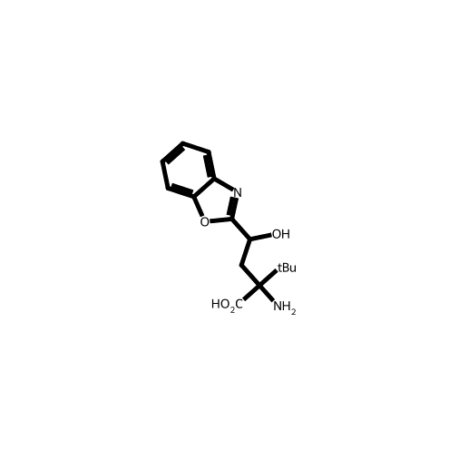 CC(C)(C)C(N)(CC(O)c1nc2ccccc2o1)C(=O)O